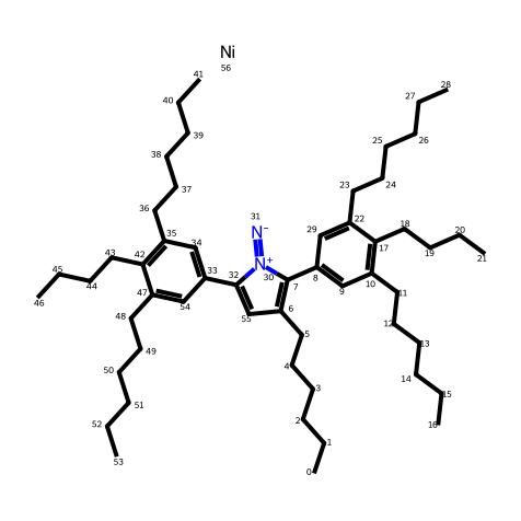 CCCCCCC1=C(c2cc(CCCCCC)c(CCCC)c(CCCCCC)c2)[N+](=[N-])C(c2cc(CCCCCC)c(CCCC)c(CCCCCC)c2)=C1.[Ni]